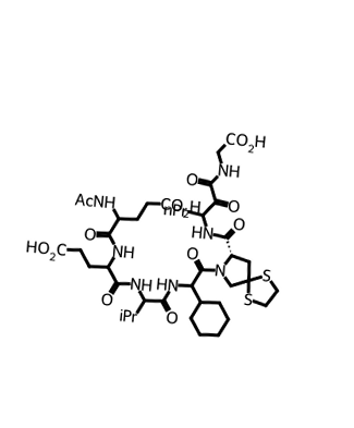 CCCC(NC(=O)[C@@H]1CC2(CN1C(=O)C(NC(=O)C(NC(=O)C(CCC(=O)O)NC(=O)C(CCC(=O)O)NC(C)=O)C(C)C)C1CCCCC1)SCCS2)C(=O)C(=O)NCC(=O)O